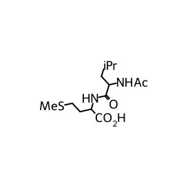 CSCCC(NC(=O)C(CC(C)C)NC(C)=O)C(=O)O